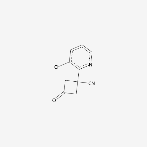 N#CC1(c2ncccc2Cl)CC(=O)C1